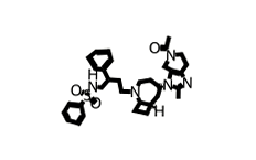 CC(=O)N1CCc2nc(C)n([C@H]3CCN(CCC(CNS(=O)(=O)c4ccccc4)c4ccccc4)C4CC[C@H]4C3)c2C1